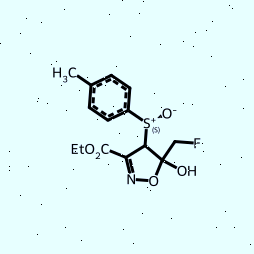 CCOC(=O)C1=NOC(O)(CF)C1[S@@+]([O-])c1ccc(C)cc1